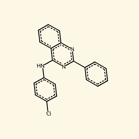 Clc1ccc(Nc2nc(-c3ccccc3)nc3ccccc23)cc1